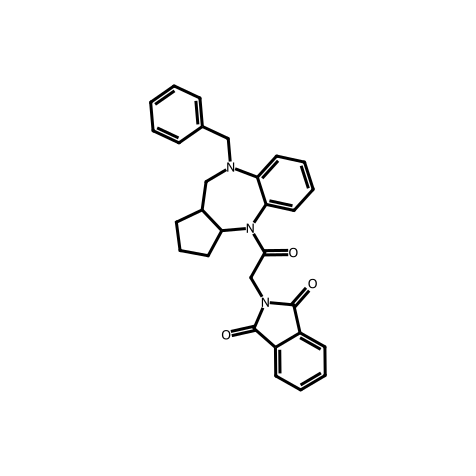 O=C1c2ccccc2C(=O)N1CC(=O)N1c2ccccc2N(Cc2ccccc2)CC2CCCC21